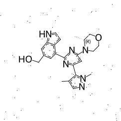 Cc1cnn(C)c1-c1cc(N2CCOC[C@H]2C)nc(-c2cc(CO)cc3[nH]ccc23)n1